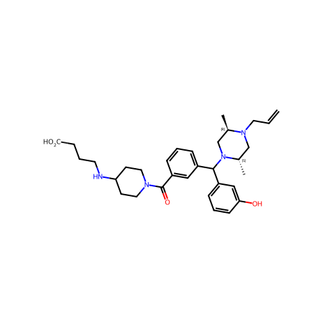 C=CCN1C[C@H](C)N(C(c2cccc(O)c2)c2cccc(C(=O)N3CCC(NCCCC(=O)O)CC3)c2)C[C@H]1C